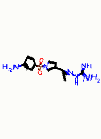 CC(=NNC(=N)N)c1ccn(S(=O)(=O)c2ccc(N)cc2)c1